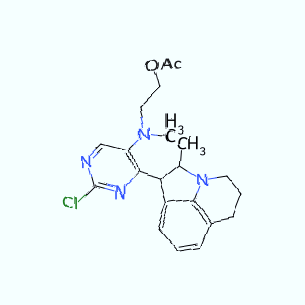 CC(=O)OCCN(C)c1cnc(Cl)nc1C1c2cccc3c2N(CCC3)C1C